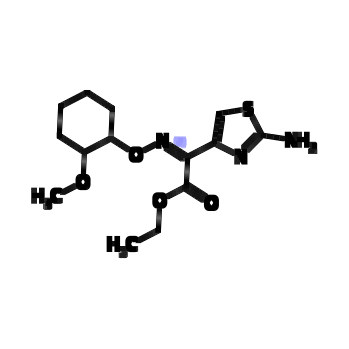 CCOC(=O)/C(=N\OC1CCCCC1OC)c1csc(N)n1